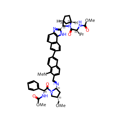 CNc1c(/C=N/[C@@H]2C[C@H](COC)CN2C(=O)[C@H](NC(=O)OC)c2ccccc2)ccc2cc(-c3ccc4c(ccc5nc([C@@H]6[C@@H]7CC[C@@H](C7)N6C(=O)[C@@H](NC(=O)OC)C(C)C)[nH]c54)c3)ccc12